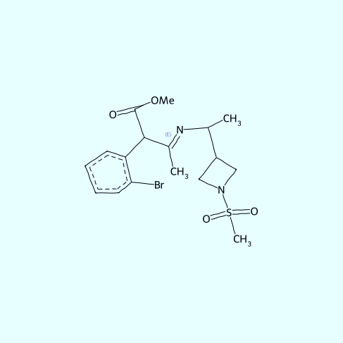 COC(=O)C(/C(C)=N/C(C)C1CN(S(C)(=O)=O)C1)c1ccccc1Br